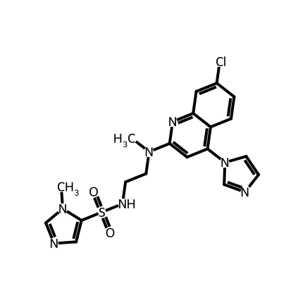 CN(CCNS(=O)(=O)c1cncn1C)c1cc(-n2ccnc2)c2ccc(Cl)cc2n1